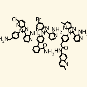 Cc1ccc2cc(NC(=O)Cc3ccc(-n4c(-c5cccnc5N)nc5ccc(C)nc54)cc3)ccc2n1.NC(=O)c1ccccc1-c1ccc(-n2c(-c3cccnc3N)nc3cc(Br)cnc32)cc1.NCc1ccc(-n2c(-c3cccnc3N)nc3ccc(Cl)nc32)cc1